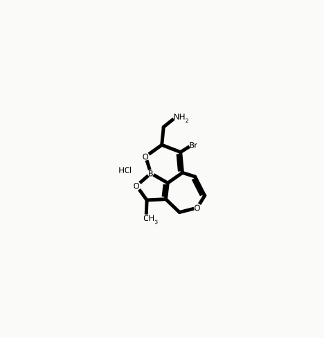 CC1OB2OC(CN)C(Br)=C3C=COCC1=C23.Cl